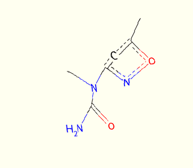 Cc1cc(N(C)C(N)=O)no1